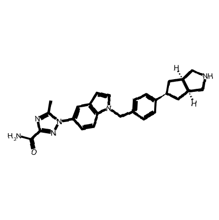 Cc1nc(C(N)=O)nn1-c1ccc2c(ccn2Cc2ccc([C@H]3C[C@H]4CNC[C@H]4C3)cc2)c1